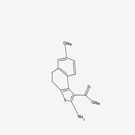 COC(=O)c1c(N)sc2c1-c1ccc(OC)cc1CC2